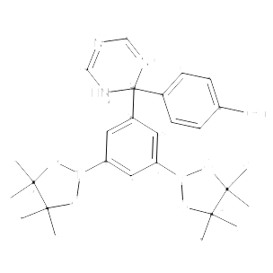 CC(C)(C)c1ccc(C2(c3cc(B4OC(C)(C)C(C)(C)O4)cc(B4OC(C)(C)C(C)(C)O4)c3)N=CN=CN2)cc1